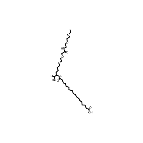 CCOCCOCCNC(=O)COCCOCCCCC(NC(=O)CCCCCCCCCCCCCCCCC(=O)O)C(=O)O